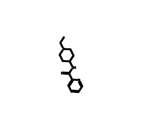 CCN1CCC(NC(=O)c2ccccn2)CC1